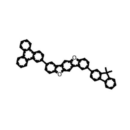 CC1(C)c2ccccc2-c2ccc(-c3ccc4oc5cc6c(cc5c4c3)oc3ccc(-c4ccc5c7ccccc7c7ccccc7c5c4)cc36)cc21